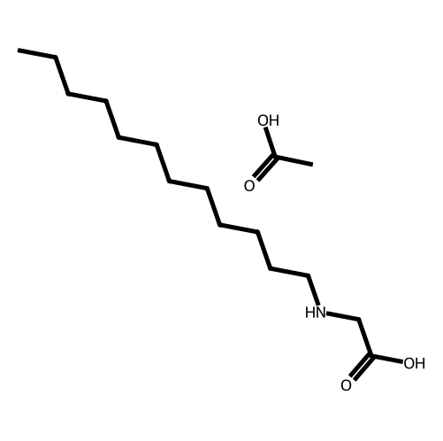 CC(=O)O.CCCCCCCCCCCCNCC(=O)O